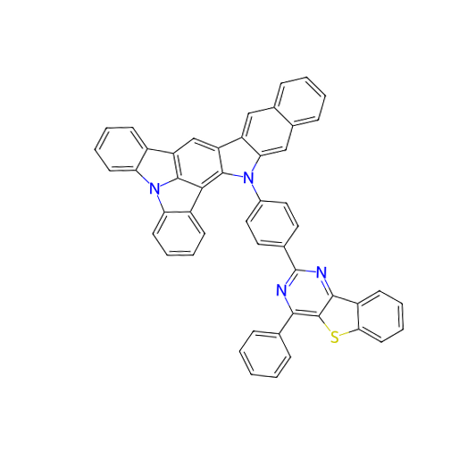 c1ccc(-c2nc(-c3ccc(-n4c5cc6ccccc6cc5c5cc6c7ccccc7n7c8ccccc8c(c54)c67)cc3)nc3c2sc2ccccc23)cc1